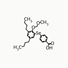 CCCCc1cc(CCCC)c(OCOC)c([Se]c2ccc(C(=O)O)cc2)c1